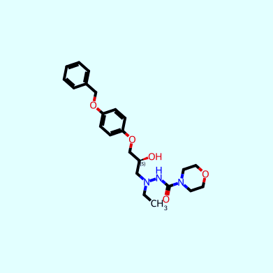 CCN(C[C@H](O)COc1ccc(OCc2ccccc2)cc1)NC(=O)N1CCOCC1